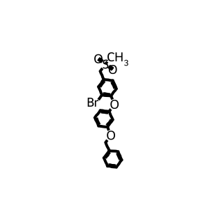 CS(=O)(=O)Cc1ccc(Oc2cccc(OCc3ccccc3)c2)c(Br)c1